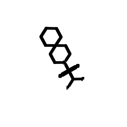 O=S(=O)(C(F)F)N1CCC2(CCCCC2)CC1